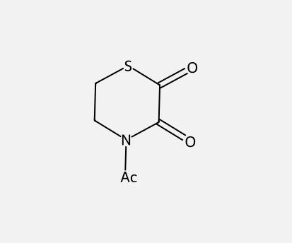 [CH2]C(=O)N1CCSC(=O)C1=O